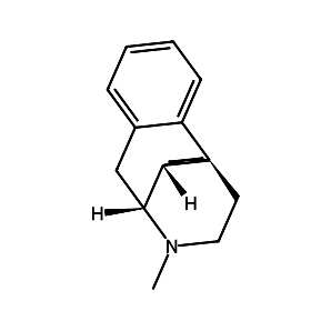 CN1CC[C@]23CCCC[C@H]2[C@H]1Cc1ccccc13